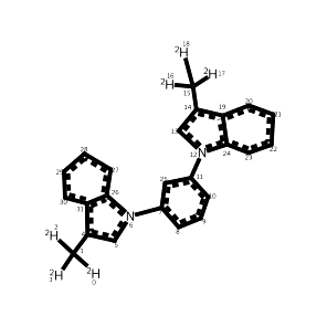 [2H]C([2H])([2H])c1cn(-c2cccc(-n3cc(C([2H])([2H])[2H])c4ccccc43)c2)c2ccccc12